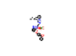 COc1ccccc1N1CCN(CCCNC(=O)c2ccccc2OCc2ccc(C(=O)c3ccccc3)cc2)CC1.Cl.O